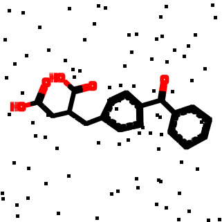 O=C(O)CC(Cc1ccc(C(=O)c2ccccc2)cc1)C(=O)O